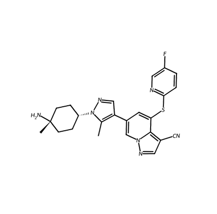 Cc1c(-c2cc(Sc3ccc(F)cn3)c3c(C#N)cnn3c2)cnn1[C@H]1CC[C@@](C)(N)CC1